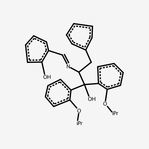 CC(C)Oc1ccccc1C(O)(c1ccccc1OC(C)C)C(Cc1ccccc1)N=Cc1ccccc1O